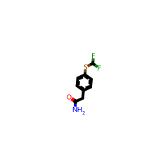 NC(=O)Cc1ccc(SC(F)F)cc1